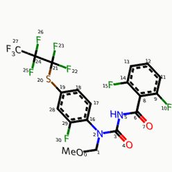 COCN(C(=O)NC(=O)c1c(F)cccc1F)c1ccc(SC(F)(F)C(F)(F)C(F)(F)F)cc1F